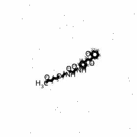 CC(=O)CCCOCCNC(=O)CC(=O)Nc1ccc(CC(=O)C2CCCCC2=O)cc1